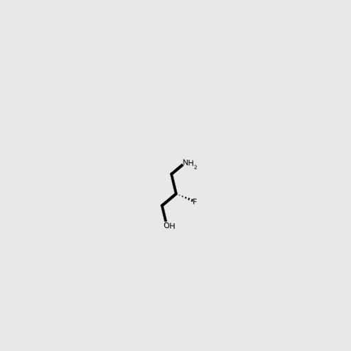 NC[C@H](F)CO